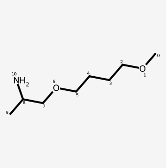 COCCCCOCC(C)N